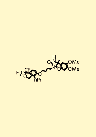 CCCc1c(OCCCCN2C(=O)NC(C)(c3ccc(OC)c(OC)c3)C2=O)ccc2c1COC2(C(F)(F)F)C(F)(F)F